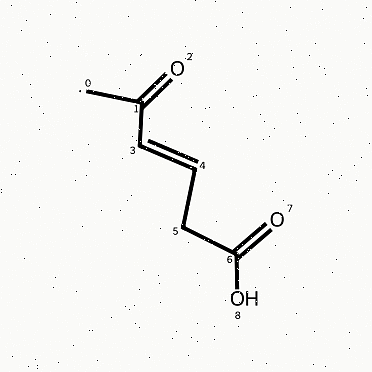 [CH2]C(=O)C=CCC(=O)O